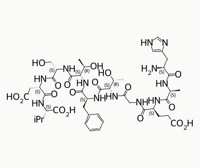 CC(C)[C@H](NC(=O)[C@H](CC(=O)O)NC(=O)[C@H](CO)NC(=O)[C@@H](NC(=O)[C@H](Cc1ccccc1)NC(=O)[C@@H](NC(=O)CNC(=O)[C@H](CCC(=O)O)NC(=O)[C@H](C)NC(=O)[C@@H](N)Cc1c[nH]cn1)[C@@H](C)O)[C@@H](C)O)C(=O)O